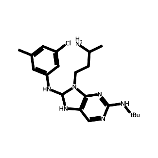 Cc1cc(Cl)cc(NC2Nc3cnc(NC(C)(C)C)nc3N2CCC(C)N)c1